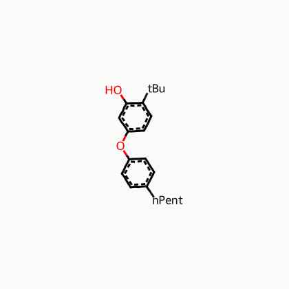 CCCCCc1ccc(Oc2ccc(C(C)(C)C)c(O)c2)cc1